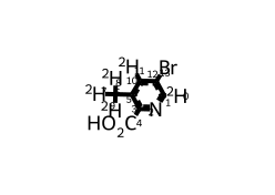 [2H]c1nc(C(=O)O)c(C([2H])([2H])[2H])c([2H])c1Br